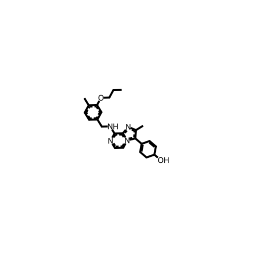 CCCOc1cc(CNc2nccn3c(C4=CCC(O)C=C4)c(C)nc23)ccc1C